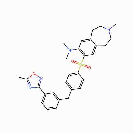 Cc1nc(-c2cccc(Cc3ccc(S(=O)(=O)c4cc5c(cc4N(C)C)CCN(C)CC5)cc3)c2)no1